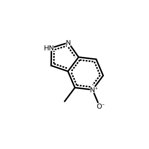 Cc1c2c[nH]nc2cc[n+]1[O-]